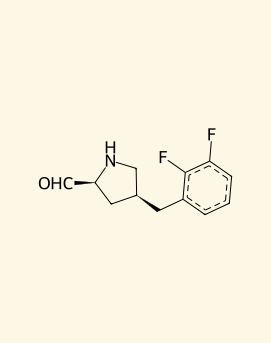 O=C[C@@H]1C[C@H](Cc2cccc(F)c2F)CN1